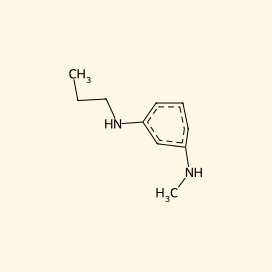 CCCNc1cccc(NC)c1